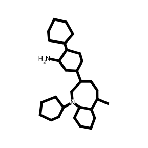 CC1CCC(C2CCC(C3CCCCC3)C(N)C2)CN(C2CCCCC2)C2CCCCC12